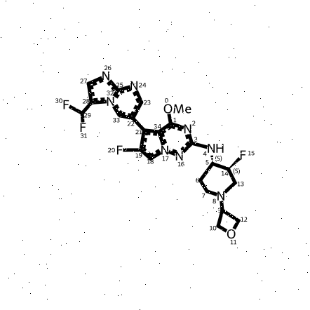 COc1nc(N[C@H]2CCN(C3COC3)C[C@@H]2F)nn2cc(F)c(-c3cnc4ncc(C(F)F)n4c3)c12